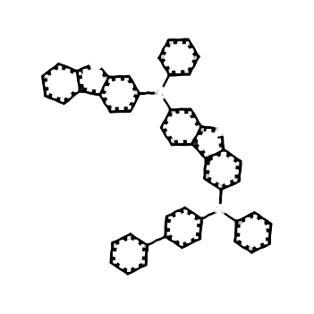 c1ccc(-c2ccc(N(c3ccccc3)c3ccc4oc5cc(N(c6ccccc6)c6ccc7c(c6)oc6ccccc67)ccc5c4c3)cc2)cc1